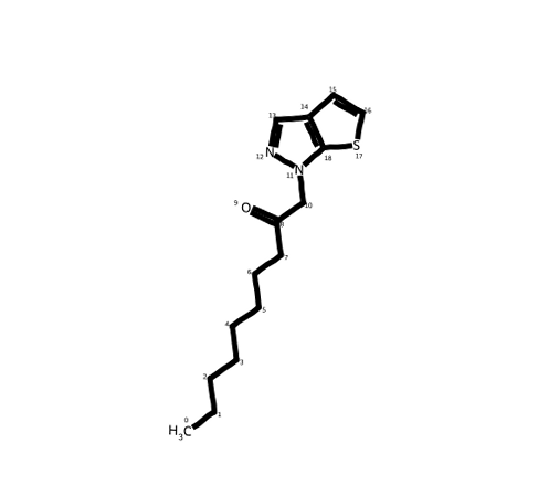 CCCCCCCCC(=O)Cn1ncc2ccsc21